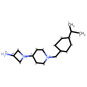 CC(C)C1CCC(CN2CCC(N3CC(N)C3)CC2)CC1